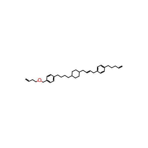 C=CCCCc1ccc(C/C=C/CC2CCC(CCCCc3ccc(COCCC=C)cc3)CC2)cc1